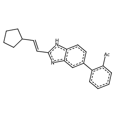 CC(=O)c1ccccc1-c1ccc2[nH]c(C=CC3CCCC3)nc2c1